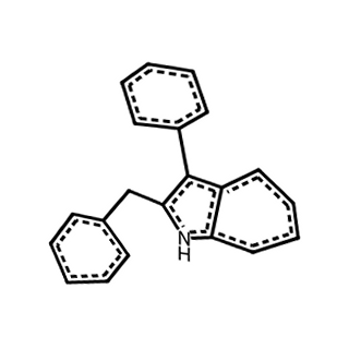 c1ccc(Cc2[nH]c3ccccc3c2-c2ccccc2)cc1